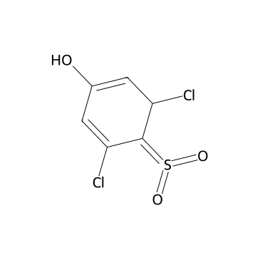 O=S(=O)=C1C(Cl)=CC(O)=CC1Cl